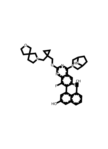 C#Cc1cccc2cc(O)cc(-c3c(F)cc4c(N5CC6CCC(C5)N6)nc(OCC5(CN6CCC7(CCOC7)C6)CC5)nc4c3F)c12